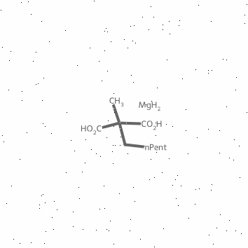 CCCCCCC(C)(C(=O)O)C(=O)O.[MgH2]